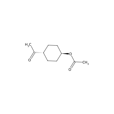 CC(=O)O[C@H]1CC[C@H](C(C)=O)CC1